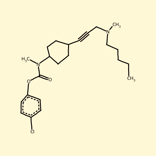 CCCCCN(C)CC#CC1CCC(N(C)C(=O)Oc2ccc(Cl)cc2)CC1